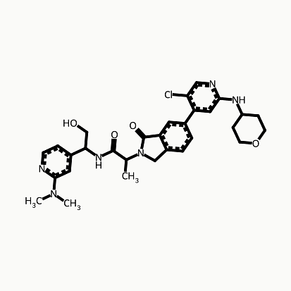 CC(C(=O)NC(CO)c1ccnc(N(C)C)c1)N1Cc2ccc(-c3cc(NC4CCOCC4)ncc3Cl)cc2C1=O